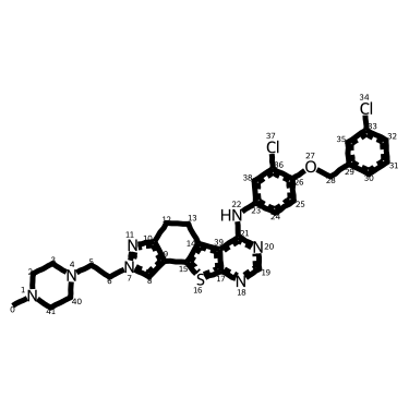 CN1CCN(CCn2cc3c(n2)CCc2c-3sc3ncnc(Nc4ccc(OCc5cccc(Cl)c5)c(Cl)c4)c23)CC1